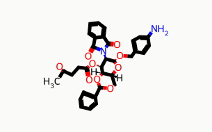 CC(=O)CCC(=O)O[C@H]1[C@@H]2OC(c3ccccc3)OC[C@H]2O[C@@H](OCc2ccc(N)cc2)[C@@H]1N1C(=O)c2ccccc2C1=O